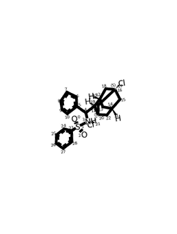 O=S(=O)(NC(c1ccccc1)[C@H]1[C@H]2C[C@@H]3C[C@](Cl)(C2)C[C@@]1(Cl)C3)c1ccccc1